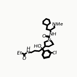 CCC(=O)NCCC[C@@](O)(c1cccc(Cl)c1)C1CCCN(C(=O)NC(CNC)CC2CCCCC2)C1